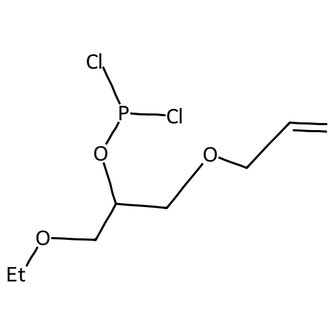 C=CCOCC(COCC)OP(Cl)Cl